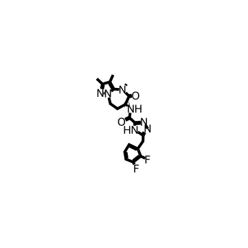 Cc1nn2c(c1C)N(C)C(=O)[C@@H](NC(=O)c1nnc(Cc3cccc(F)c3F)[nH]1)CC2